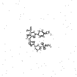 NS(=O)(=O)c1cccc(-c2noc(-c3cnn4c(C(F)F)cc(-c5ccc(C(F)(F)F)cc5)nc34)n2)c1